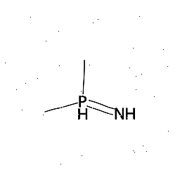 C[PH](C)=N